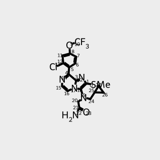 CSc1nc2c(-c3ccc(OC(F)(F)F)cc3Cl)nccn2c1N(CC(N)=O)CC1CC1